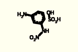 Nc1cccc(N[N+](=O)[O-])c1.O=S(=O)(O)O